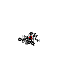 COc1ccc(C(OC[C@H]2C[C@@H](n3cnc4c(NC(=O)c5ccccc5)ncnc43)[C@H](O[Si](C)(C)C(C)(C)C)[C@@H]2OP(OCCC#N)N(C(C)C)C(C)C)(c2ccccc2)c2ccc(C)cc2)cc1